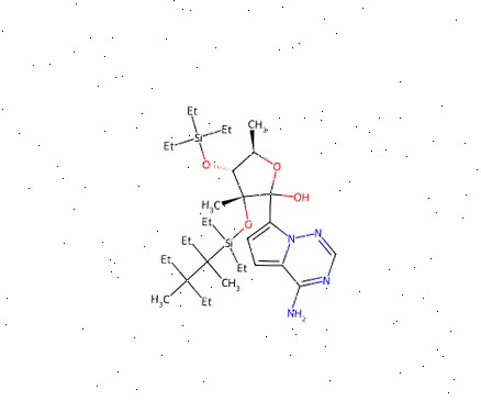 CCC(C)(CC)C(C)(CC)[Si](CC)(CC)O[C@]1(C)[C@H](O[Si](CC)(CC)CC)[C@@H](C)OC1(O)c1ccc2c(N)ncnn12